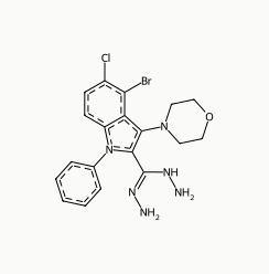 N/N=C(\NN)c1c(N2CCOCC2)c2c(Br)c(Cl)ccc2n1-c1ccccc1